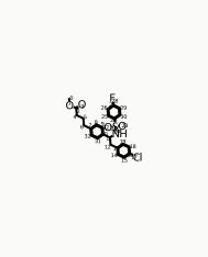 COC(=O)CCCc1ccc(C(Cc2ccc(Cl)cc2)NS(=O)(=O)c2ccc(F)cc2)cc1